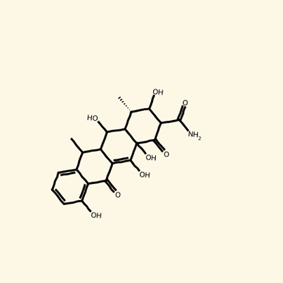 CC1c2cccc(O)c2C(=O)C2=C(O)C3(O)C(=O)C(C(N)=O)C(O)[C@@H](C)C3C(O)C21